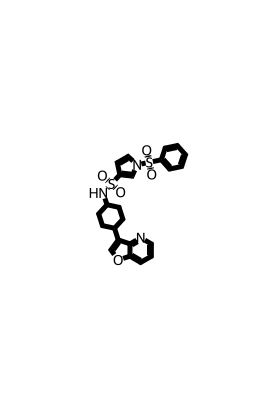 O=S(=O)(NC1CCC(c2coc3cccnc23)CC1)c1ccn(S(=O)(=O)c2ccccc2)c1